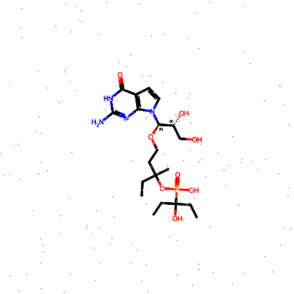 CCC(C)(CCO[C@H]([C@H](O)CO)n1ccc2c(=O)[nH]c(N)nc21)OP(=O)(O)C(O)(CC)CC